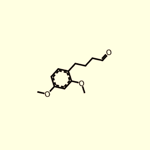 COc1ccc(CCCC=O)c(OC)c1